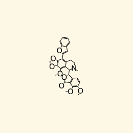 COc1ccc2c(c1OC)C(=O)O[C@@H]2[C@H]1c2c(c(-c3cc4ccccc4o3)c3c(c2OC)OCO3)CCN1C